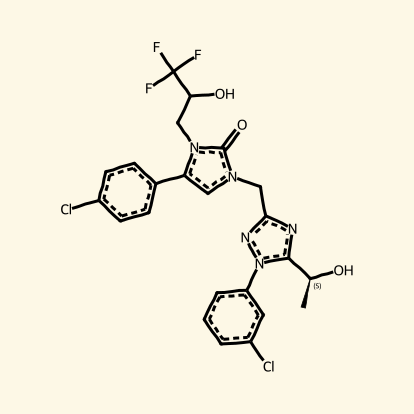 C[C@H](O)c1nc(Cn2cc(-c3ccc(Cl)cc3)n(CC(O)C(F)(F)F)c2=O)nn1-c1cccc(Cl)c1